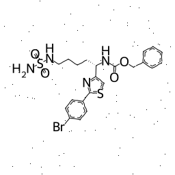 NS(=O)(=O)NCCCC[C@H](NC(=O)OCc1ccccc1)c1csc(-c2ccc(Br)cc2)n1